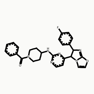 O=C(c1ccccc1)N1CCC(Nc2nccc(C3C(c4ccc(F)cc4)N=C4OC=CN43)n2)CC1